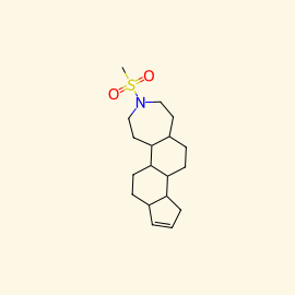 CS(=O)(=O)N1CCC2CCC3C4CC=CC4CCC3C2CC1